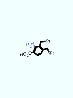 CC(C)Cc1ccc(C(=O)O)c(N)c1CC(C)C